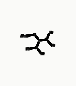 COOP(N(C(C)C)C(C)C)N(C(C)C)C(C)C